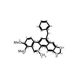 COc1ccc2c(c[n+](C)c3c4cc5c(cc4c(Cc4ccccc4)cc23)OCO5)c1OC